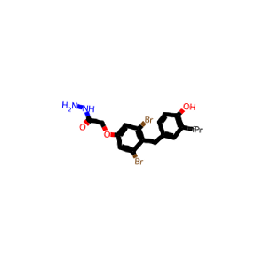 CC(C)c1cc(Cc2c(Br)cc(OCC(=O)NN)cc2Br)ccc1O